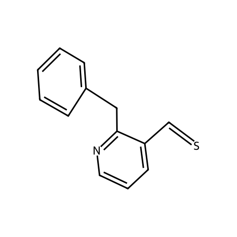 S=Cc1cccnc1Cc1ccccc1